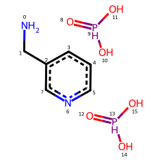 NCc1cccnc1.O=[PH](O)O.O=[PH](O)O